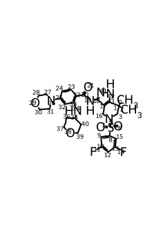 CC1(C)CN(S(=O)(=O)c2cc(F)cc(F)c2)Cc2c(NC(=O)c3ccc(N4CCOCC4)cc3NC3CCOCC3)n[nH]c21